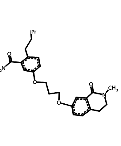 CC(C)CCc1ccc(OCCCOc2ccc3c(c2)C(=O)N(C)CC3)cc1C(N)=O